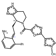 CC(C)C1=CC=CN(N)/C1=C\C[C@H]1c2nc[nH]c2CCN1C(=O)c1nnc(-c2ccn(C)n2)o1